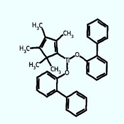 CC1=C(C)C(C)(C)[C]([Ti]([O]c2ccccc2-c2ccccc2)[O]c2ccccc2-c2ccccc2)=C1C